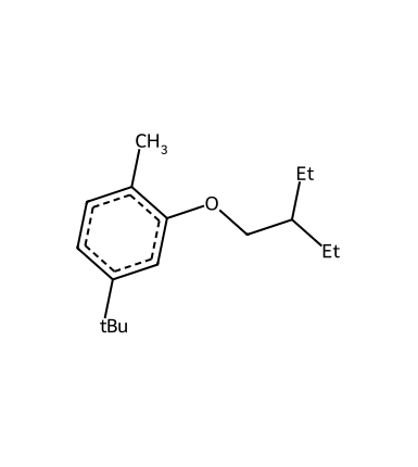 CCC(CC)COc1cc(C(C)(C)C)ccc1C